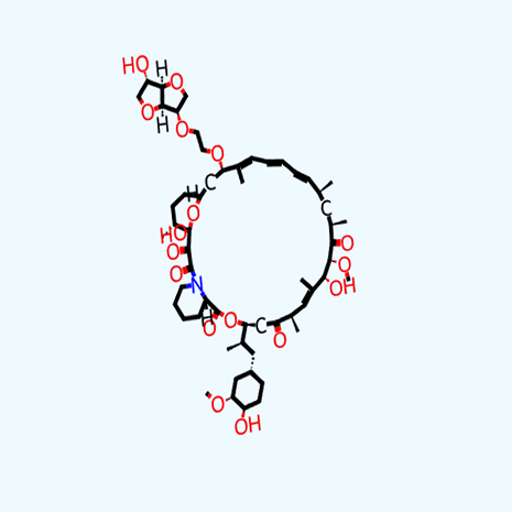 CO[C@@H]1C[C@H](C[C@@H](C)[C@@H]2CC(=O)[C@H](C)/C=C(\C)[C@@H](O)[C@@H](OC)C(=O)[C@H](C)C[C@H](C)/C=C/C=C/C=C(\C)[C@H](OCCO[C@@H]3CO[C@H]4[C@@H]3OC[C@@H]4O)C[C@@H]3CC[C@@H](C)[C@@](O)(O3)C(=O)C(=O)N3CCCC[C@H]3C(=O)O2)CC[C@H]1O